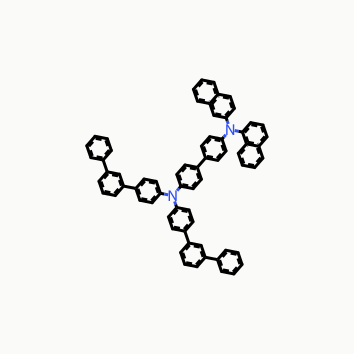 c1ccc(-c2cccc(-c3ccc(N(c4ccc(-c5ccc(N(c6ccc7ccccc7c6)c6cccc7ccccc67)cc5)cc4)c4ccc(-c5cccc(-c6ccccc6)c5)cc4)cc3)c2)cc1